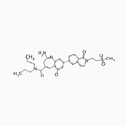 CCCN(CCC)C(=O)C1=Cc2c(Cl)cc(-c3ccc4c(=O)n(CCS(C)(=O)=O)ccc4c3)cc2N=C(N)C1